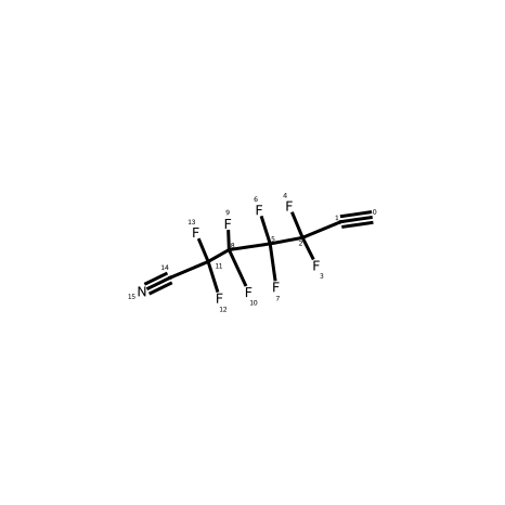 C#CC(F)(F)C(F)(F)C(F)(F)C(F)(F)C#N